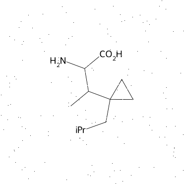 CC(C)CC1(C(C)C(N)C(=O)O)CC1